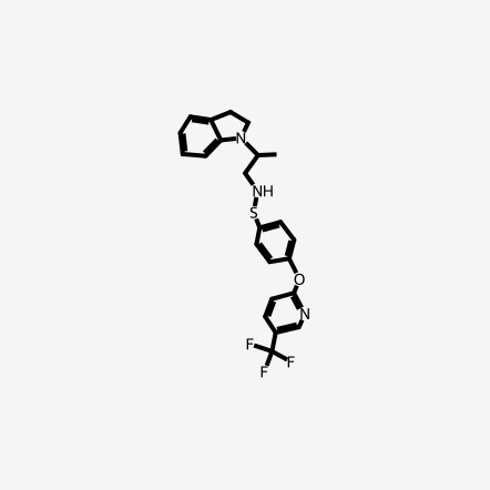 CC(CNSc1ccc(Oc2ccc(C(F)(F)F)cn2)cc1)N1CCc2ccccc21